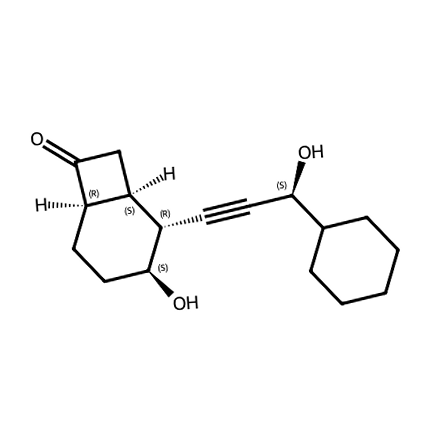 O=C1C[C@H]2[C@H](C#C[C@@H](O)C3CCCCC3)[C@@H](O)CC[C@@H]12